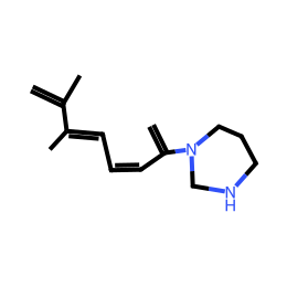 C=C(C)/C(C)=C/C=C\C(=C)N1CCCNC1